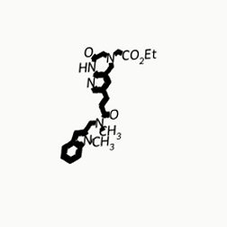 CCOC(=O)CN1CC(=O)Nc2ncc(/C=C/C(=O)N(C)Cc3cc4ccccc4n3C)cc2C1